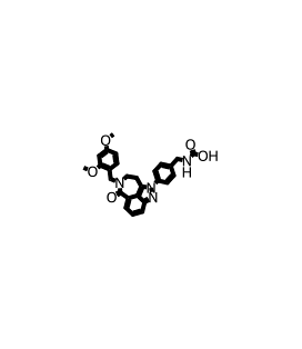 COc1ccc(CN2CCc3c4c(cccc4nn3-c3ccc(CNC(=O)O)cc3)C2=O)c(OC)c1